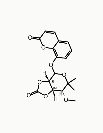 CO[C@@H]1[C@@H]2OC(=O)O[C@@H]2C(Oc2cccc3ccc(=O)oc23)OC1(C)C